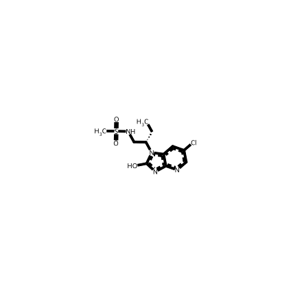 CC[C@@H](CNS(C)(=O)=O)n1c(O)nc2ncc(Cl)cc21